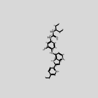 CCc1ccc(-c2cc3nccc(Oc4ccc(NC(=O)NC(CC)CC)cc4F)c3s2)nc1